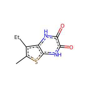 CCc1c(C)sc2[nH]c(=O)c(=O)[nH]c12